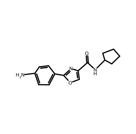 Nc1ccc(-c2nc(C(=O)NC3CCCC3)co2)cc1